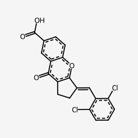 O=C(O)c1ccc2oc3c(c(=O)c2c1)CC/C3=C\c1c(Cl)cccc1Cl